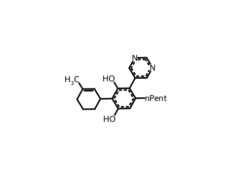 CCCCCc1cc(O)c(C2C=C(C)CCC2)c(O)c1-c1cncnc1